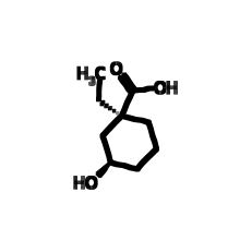 CC[C@]1(C(=O)O)CCC[C@@H](O)C1